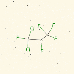 F[C](C(F)(F)F)C(F)(Cl)Cl